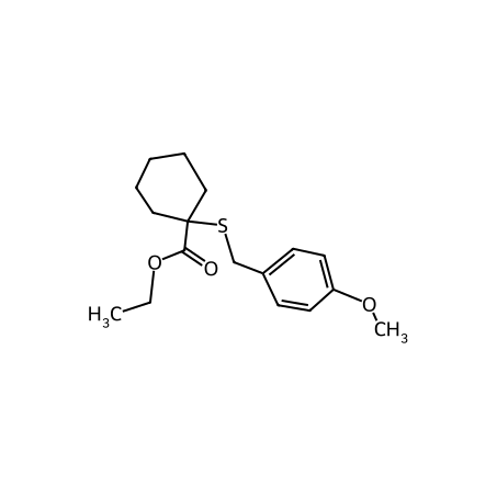 CCOC(=O)C1(SCc2ccc(OC)cc2)CCCCC1